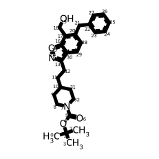 CC(C)(C)OC(=O)N1CCC(CCc2noc3c(CO)c(Cc4ccccc4)ccc23)CC1